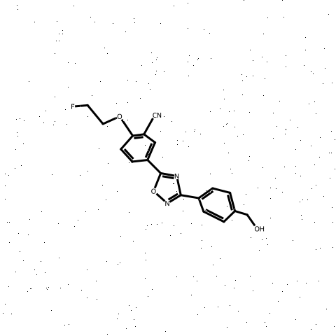 N#Cc1cc(-c2nc(-c3ccc(CO)cc3)no2)ccc1OCCF